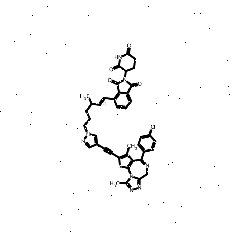 Cc1c(C#Cc2cnn(CCCC(C)/C=C/c3cccc4c3C(=O)N(C3CCC(=O)NC3=O)C4=O)c2)sc2c1C(c1ccc(Cl)cc1)=NCc1nnc(C)n1-2